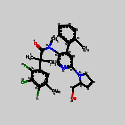 COc1cc(C(C)(C)C(=O)N(C)c2cnc(N3CCCC3CO)cc2-c2ccccc2C)c(F)c(Cl)c1F